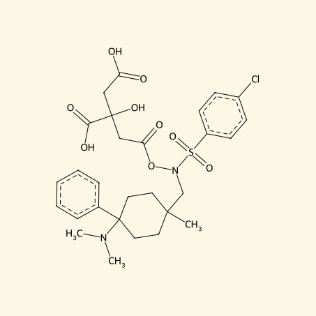 CN(C)C1(c2ccccc2)CCC(C)(CN(OC(=O)CC(O)(CC(=O)O)C(=O)O)S(=O)(=O)c2ccc(Cl)cc2)CC1